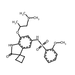 COc1ccccc1S(=O)(=O)Nc1cc(OC(C)CN(C)C)c2c(c1)C1(CCC1)C(=O)N2